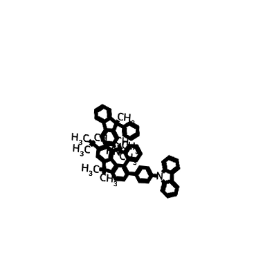 CC(C)(C)c1cc(C(C)(C)C)c2c(c1)C(C)(C)c1ccc(-c3ccc(-n4c5ccccc5c5ccccc54)cc3)c(-c3ccccc3Nc3ccc4c(c3)C(C)(c3ccccc3)c3ccccc3-4)c1-2